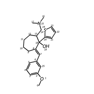 COc1cccc(C=C2CCCCC(CN(C)C)C2(O)c2cccs2)c1